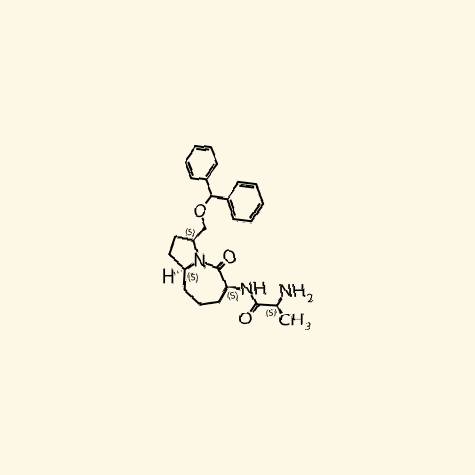 C[C@H](N)C(=O)N[C@H]1CCC[C@H]2CC[C@@H](COC(c3ccccc3)c3ccccc3)N2C1=O